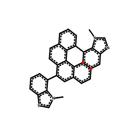 Cn1cnc2cccc(-c3cc4ccccc4c4c3ccc3cccc(-c5cccc6ncn(C)c56)c34)c21